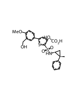 COc1ccc(-c2ccc(S(=O)(=O)N[C@H]3C[C@]3(C)c3ccccc3)s2)cc1CO.O=C(O)O